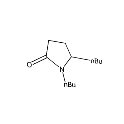 CCCCC1CCC(=O)N1CCCC